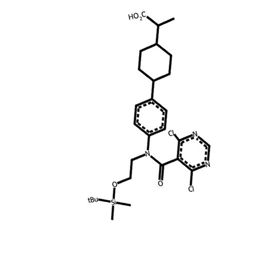 CC(C(=O)O)C1CCC(c2ccc(N(CCO[Si](C)(C)C(C)(C)C)C(=O)c3c(Cl)ncnc3Cl)cc2)CC1